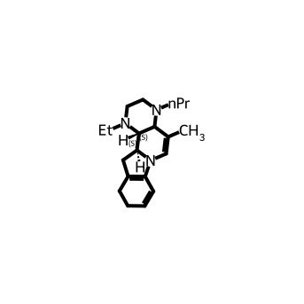 CCCN1CCN(CC)[C@@H]2C1C(C)=CN1C3=C(CCC=C3)C[C@@H]21